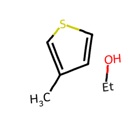 CCO.Cc1ccsc1